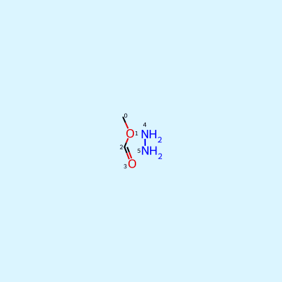 COC=O.NN